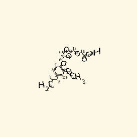 C=CCc1ccc(OCC2COC(COCC(=O)O)O2)c(OC)c1